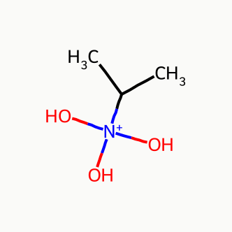 CC(C)[N+](O)(O)O